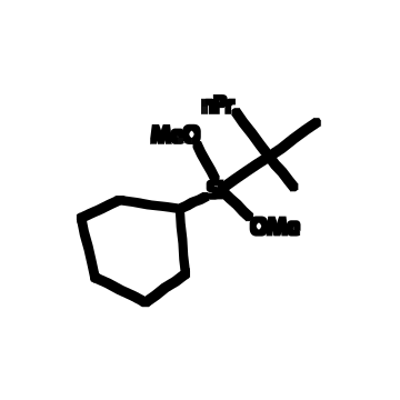 CCCC(C)(C)[Si](OC)(OC)C1CCCCC1